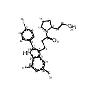 O=C(CCc1c(-c2ccc(F)cc2)[nH]c2c(F)cc(F)cc12)N1CCCC1CCO